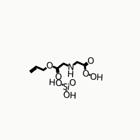 C=CCOC(=O)CNCC(=O)OO.O=[Si](O)O